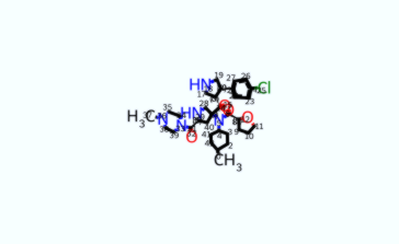 CC1CCC(N(C(=O)[C@@H]2CCCO2)[C@]2(C(=O)[C@@H]3CNC[C@H]3c3ccc(Cl)cc3)CN[C@H](C(=O)N3CCN(C)CC3)C2)CC1